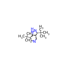 CC(C)(C)c1n[nH]c2c(C(C)(C)C)cncc12